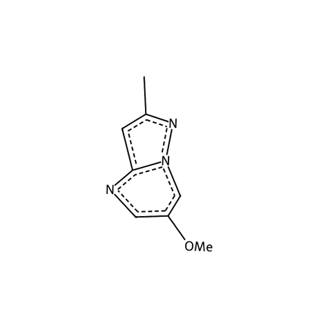 COc1cnc2cc(C)nn2c1